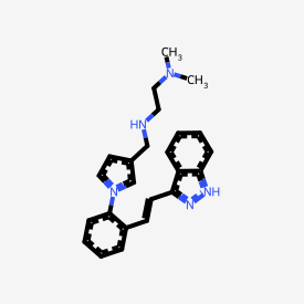 CN(C)CCNCc1ccn(-c2ccccc2C=Cc2n[nH]c3ccccc23)c1